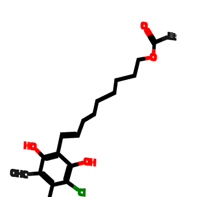 CCC(=O)OCCCCCCCC=Cc1c(O)c(Cl)c(C)c(C=O)c1O